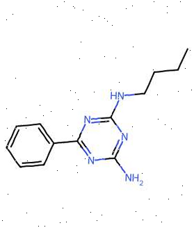 CCCCNc1nc(N)nc(-c2ccccc2)n1